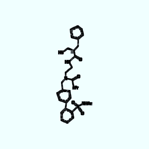 CCCC(=O)N(CCNC(=O)[C@@H](CS)Cc1ccccc1)Cc1ccc(-c2ccccc2S(=O)(=O)NC(C)=O)cc1